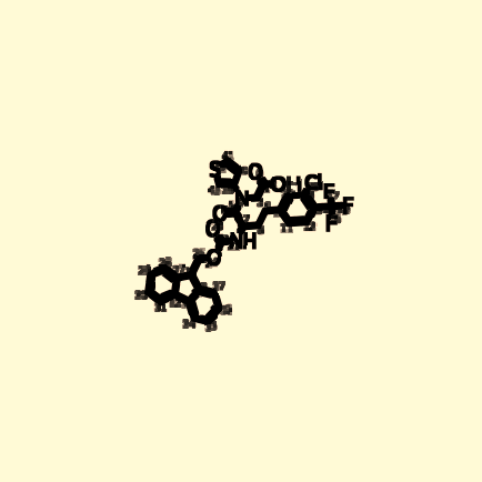 O=C(O)CN(C(=O)C(CCc1ccc(C(F)(F)F)c(Cl)c1)NC(=O)OCC1c2ccccc2-c2ccccc21)c1ccsc1